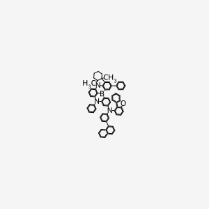 CC12CCCCC1(C)N1c3cccc4c3B(c3ccc(N(c5cccc(-c6cccc7ccccc67)c5)c5cccc6oc7ccccc7c56)cc3N4c3ccccc3)c3cc(-c4ccccc4)cc2c31